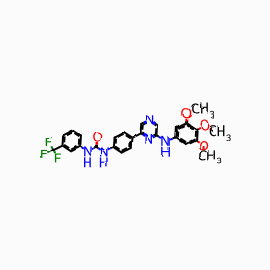 COc1cc(Nc2cncc(-c3ccc(NC(=O)Nc4cccc(C(F)(F)F)c4)cc3)n2)cc(OC)c1OC